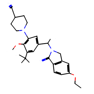 CCOc1ccc2c(c1)CN(C(C)c1cc(N3CCC(C#N)CC3)c(OC)c(C(C)(C)C)c1)C2=N